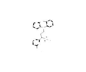 Cc1ccnc(C(CCN2c3ccccc3Oc3ccccc32)S(=O)(=O)O)n1